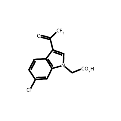 O=C(O)Cn1cc(C(=O)C(F)(F)F)c2ccc(Cl)cc21